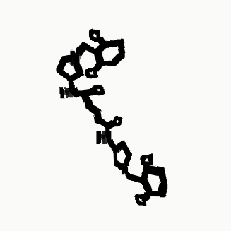 O=C(CCCC(=O)NC1CCN(Cc2c(Cl)cccc2Cl)C1)NC1CCN(Cc2c(Cl)cccc2Cl)C1